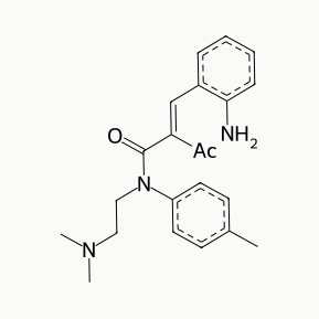 CC(=O)C(=Cc1ccccc1N)C(=O)N(CCN(C)C)c1ccc(C)cc1